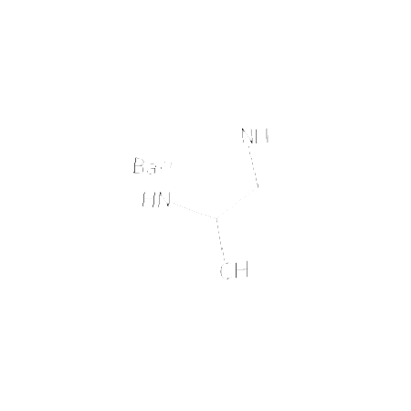 CC([NH-])C[NH-].[Ba+2]